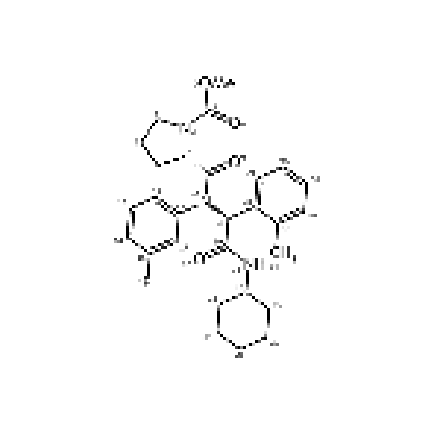 COC(=O)N1CCC[C@H]1C(=O)N(c1cccc(F)c1)[C@H](C(=O)NC1CCCCC1)c1ccccc1C